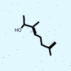 C=C(C)CC/C=C(\C)C(C)O